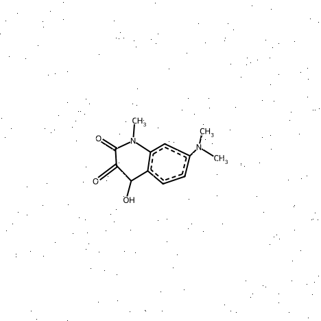 CN(C)c1ccc2c(c1)N(C)C(=O)C(=O)C2O